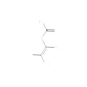 CC(C)=C(N)NC(=O)C(C)C